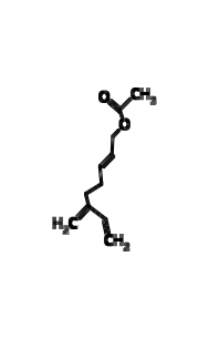 C=CC(=C)CC/C=C/COC(C)=O